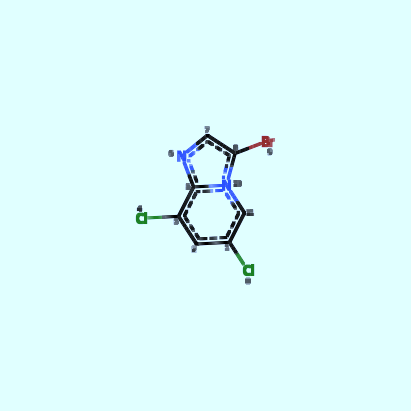 Clc1cc(Cl)c2ncc(Br)n2c1